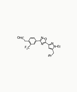 CCn1nc(-c2nc(-c3ccc(CC=O)c(C(F)(F)F)c3)no2)cc1CC(C)C